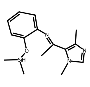 CC(=Nc1ccccc1O[SiH](C)C)c1c(C)ncn1C